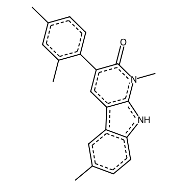 Cc1ccc(-c2cc3c4cc(C)ccc4[nH]c3n(C)c2=O)c(C)c1